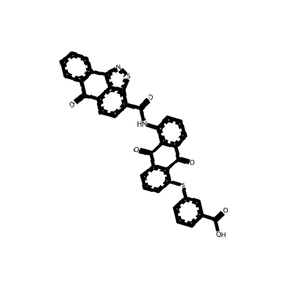 O=C(O)c1cccc(Sc2cccc3c2C(=O)c2cccc(NC(=O)c4ccc5c6c(nsc46)-c4ccccc4C5=O)c2C3=O)c1